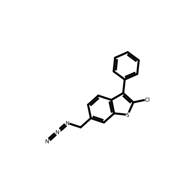 [N-]=[N+]=NCc1ccc2c(-c3ccccc3)c(Cl)sc2c1